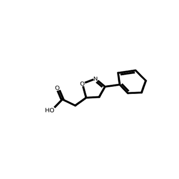 O=C(O)CC1CC(C2=CCCC=C2)=NO1